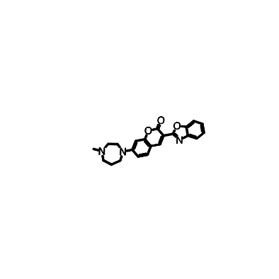 CN1CCCN(c2ccc3cc(-c4nc5ccccc5o4)c(=O)oc3c2)CC1